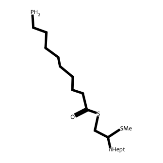 CCCCCCCC(CSC(=O)CCCCCCCCP)SC